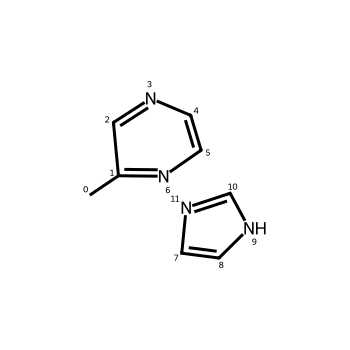 Cc1cnccn1.c1c[nH]cn1